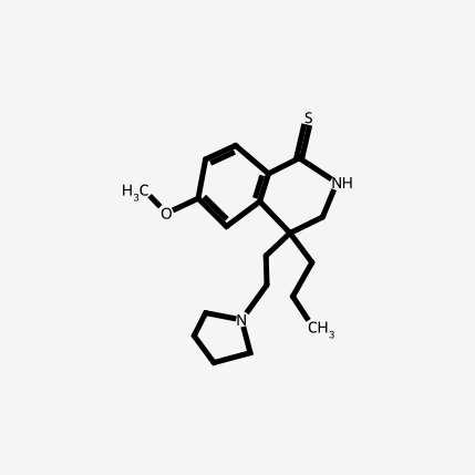 CCCC1(CCN2CCCC2)CNC(=S)c2ccc(OC)cc21